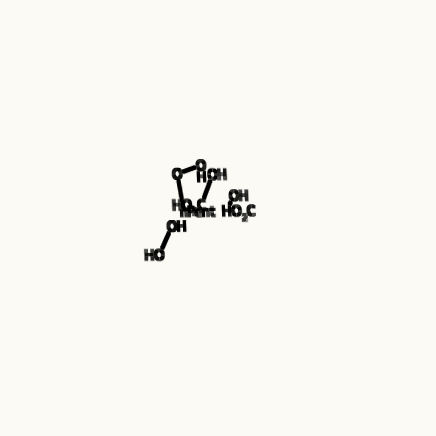 CCCCCOO.O=C(O)O.O=C(O)O.OO